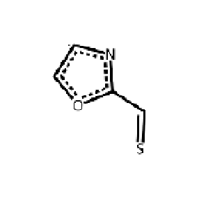 S=Cc1n[c]co1